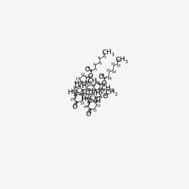 C=O.CCCCCCC(=O)O[C@H]1CC[C@H]2[C@@H]3CCC4=CC(=O)CC[C@]4(C)[C@H]3CC[C@]12C.CCCCCCC(=O)O[C@H]1CC[C@H]2[C@@H]3CCC4=CC(=O)CC[C@]4(C)[C@H]3CC[C@]12C